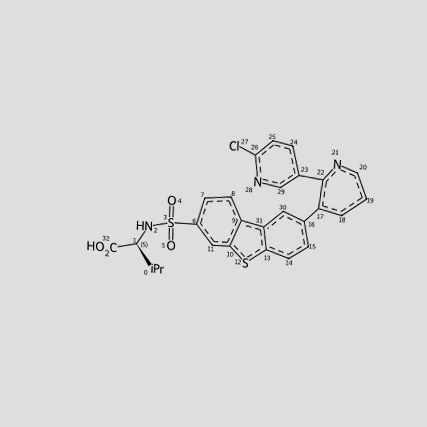 CC(C)[C@H](NS(=O)(=O)c1ccc2c(c1)sc1ccc(-c3cccnc3-c3ccc(Cl)nc3)cc12)C(=O)O